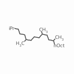 CCCCCCCCC(C)CCC(C)CCCC(C)CCCC(C)C